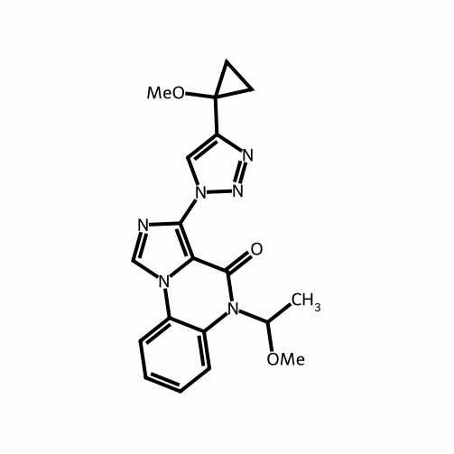 COC(C)n1c(=O)c2c(-n3cc(C4(OC)CC4)nn3)ncn2c2ccccc21